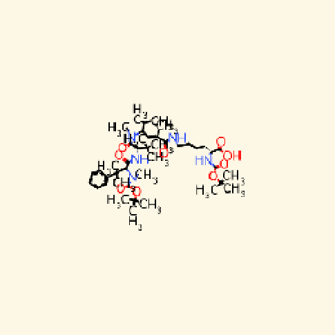 C/C(=C\[C@H](C(C)C)N(C)C(=O)[C@@H](NC(=O)[C@@H](N(C)C(=O)OC(C)(C)C)C(C)(C)c1ccccc1)C(C)(C)C)C(=O)NCCCC[C@@H](NC(=O)OC(C)(C)C)C(=O)O